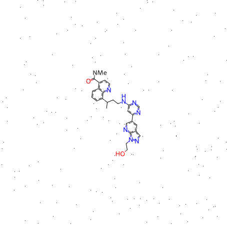 CNC(=O)c1ccnc2c(C(C)CCNc3cc(-c4cnc5c(cnn5CCO)c4)ncn3)cccc12